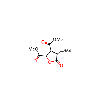 COC(=O)C1OC(=O)C(OC)C1C(=O)OC